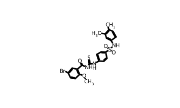 COc1ccc(Br)cc1C(=O)NC(=S)Nc1ccc(S(=O)(=O)Nc2ccc(C)c(C)c2)cc1